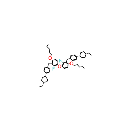 CCCCCOc1ccc(Oc2ccc(OCCCCC)c(Cc3ccc([C@H]4CC[C@H](CC)CC4)cc3)c2F)c(F)c1Cc1ccc([C@H]2CC[C@H](CC)CC2)cc1